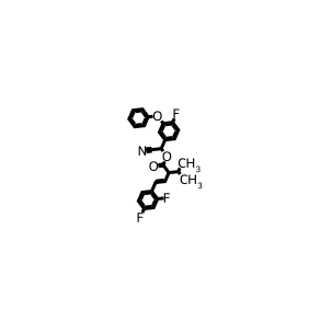 CC(C)C(C=Cc1ccc(F)cc1F)C(=O)OC(C#N)c1ccc(F)c(Oc2ccccc2)c1